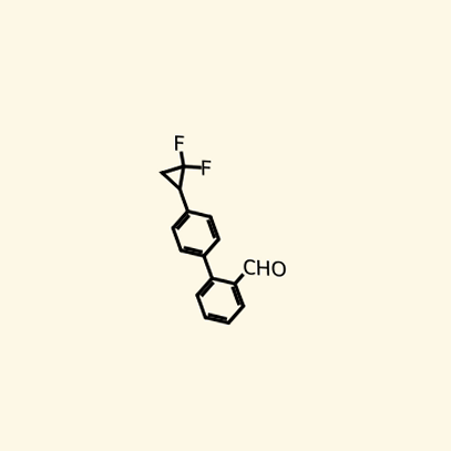 O=Cc1ccccc1-c1ccc(C2CC2(F)F)cc1